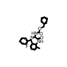 Cc1cccc2c1NC(=O)C(NC(=O)OCc1ccccc1)N=C2c1ccccc1F